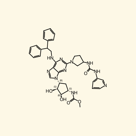 COC(=O)N[C@H]1C[C@@H](n2cnc3c(NCC(c4ccccc4)c4ccccc4)nc(N4CCC(NC(=O)Nc5cccnc5)C4)nc32)[C@H](O)[C@@H]1O